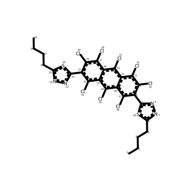 CCCCc1nnc(-c2c(Cl)c(Cl)c3c(Cl)c4c(Cl)c(Cl)c(-c5nnc(CCCC)s5)c(Cl)c4c(Cl)c3c2Cl)s1